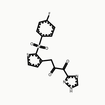 O=C(Cc1ccsc1S(=O)(=O)c1ccc(F)cc1)C(=O)c1nc[nH]n1